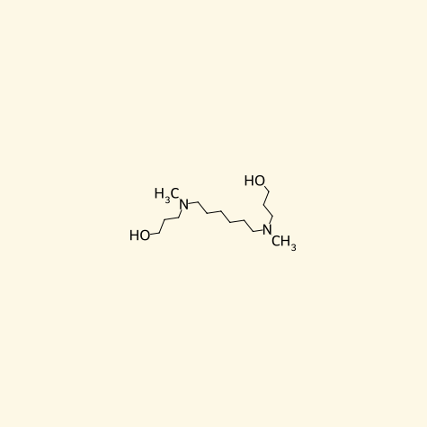 CN(CCCO)CCCCCCN(C)CCCO